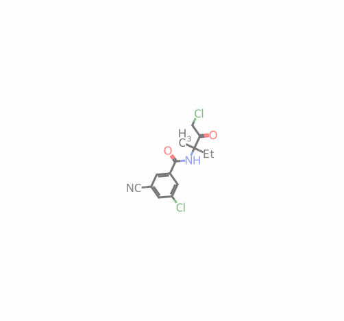 CCC(C)(NC(=O)c1cc(Cl)cc(C#N)c1)C(=O)CCl